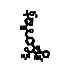 CC(C)(c1cc(NC(=O)Cc2ccc(-c3nn(C4CCCC4)c(N)c3C(N)=O)cc2)on1)C(F)(F)F